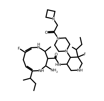 CCC(C)/C1=C/C/C(F)=C\NC(C)C(C(=O)NC2CNCC(F)(C(C)CC)C2N2CCN(C(=O)CN3CCC3)CC2)C(N)N1